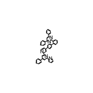 c1ccc(-c2cc(-c3ccccn3)nc(-c3cc(-c4ccc(-c5ccccc5-c5nc(-c6ccccc6)cc(-c6ccccc6)n5)cc4)ccn3)c2)cc1